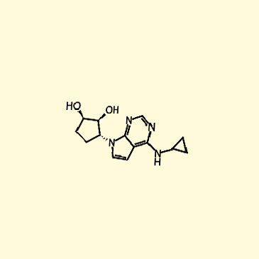 O[C@@H]1[C@H](O)CC[C@H]1n1ccc2c(NC3CC3)ncnc21